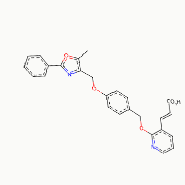 Cc1oc(-c2ccccc2)nc1COc1ccc(COc2ncccc2C=CC(=O)O)cc1